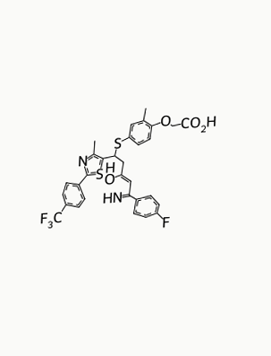 Cc1cc(SC(C/C(O)=C/C(=N)c2ccc(F)cc2)c2sc(-c3ccc(C(F)(F)F)cc3)nc2C)ccc1OCC(=O)O